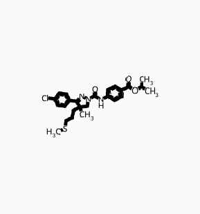 CSCCCC1(C)CN(C(=O)Nc2ccc(C(=O)OC(C)C)cc2)N=C1c1ccc(Cl)cc1